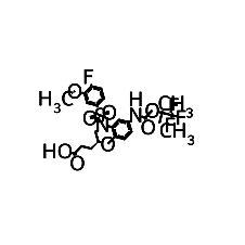 CCC(C)(OC(=O)Nc1ccc2c(c1)N(S(=O)(=O)c1ccc(F)c(OC)c1)C[C@H](CCC(=O)O)O2)C(F)(F)F